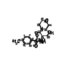 Cc1ccc(S(=O)(=O)NC(CO)C(=O)N2CCOCC2)cc1